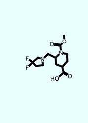 COC(=O)N1CCC(C(=O)O)CC1CN1CCC(F)(F)C1